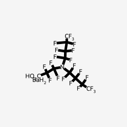 O=C(O)C(F)(F)C(F)(F)N(C(F)(F)C(F)(F)C(F)(F)C(F)(F)F)C(F)(F)C(F)(F)C(F)(F)C(F)(F)F.[BaH2]